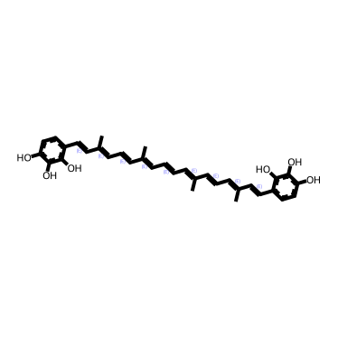 CC(/C=C/C=C(C)/C=C/c1ccc(O)c(O)c1O)=C\C=C\C=C(C)\C=C\C=C(C)\C=C\c1ccc(O)c(O)c1O